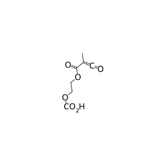 CC(=C=O)C(=O)OCCOC(=O)O